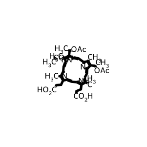 CC(=O)O.CC(=O)OC(C)C1=C(C)c2cc3[nH]c(cc4nc(cc5[nH]c(cc1n2)c(C)c5CCC(=O)O)C(CCC(=O)O)=C4C)c(C)c3C(C)OC(C)=O